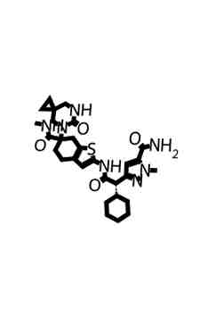 CNC(=O)C1(N2CC3(CC3)CNC2=O)CCc2cc(NC(=O)[C@H](c3cc(C(N)=O)n(C)n3)C3CCCCC3)sc2C1